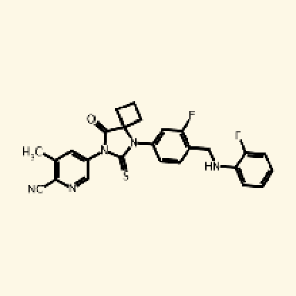 Cc1cc(N2C(=O)C3(CCC3)N(c3ccc(CNc4ccccc4F)c(F)c3)C2=S)cnc1C#N